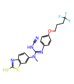 CN(/C(=N/c1ccc(OCCCC(F)(F)F)cc1)NC#N)c1ccc2nc(S)sc2c1